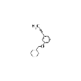 CC#Cc1cccc(OCC2CCCCC2)c1